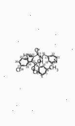 COP(=O)(c1cccc(C)c1)c1c(C(=O)NCc2ccncc2)[nH]c2ccc(Cl)cc12